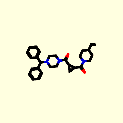 CNC1CCN(C(=O)C2CC2C(=O)N2CCN(C(c3ccccc3)c3ccccc3)CC2)CC1